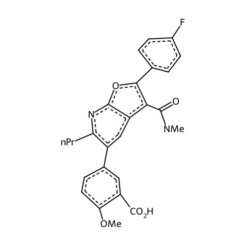 CCCc1nc2oc(-c3ccc(F)cc3)c(C(=O)NC)c2cc1-c1ccc(OC)c(C(=O)O)c1